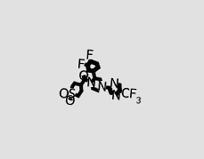 O=C(C1CCS(=O)(=O)CC1)N1CCN(c2cnc(C(F)(F)F)cn2)CC1c1ccc(F)c(F)c1